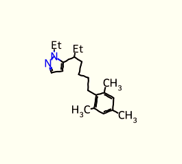 CCC(CCCCc1c(C)cc(C)cc1C)c1ccnn1CC